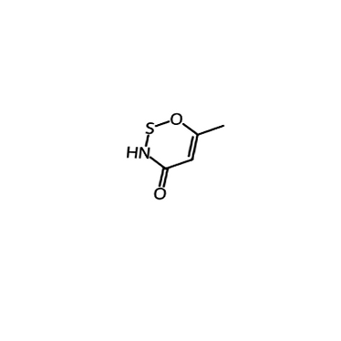 CC1=CC(=O)NSO1